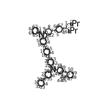 CC(C)CC(c1ccc(-c2ccc3c(c2)c2cc(-c4ccc(-c5ccc(N(c6ccc(-c7ccccc7)cc6)c6ccc7c(c6)C(C)(C)c6ccccc6-7)cc5)cc4)ccc2n3-c2ccccc2)cc1)C(C)C